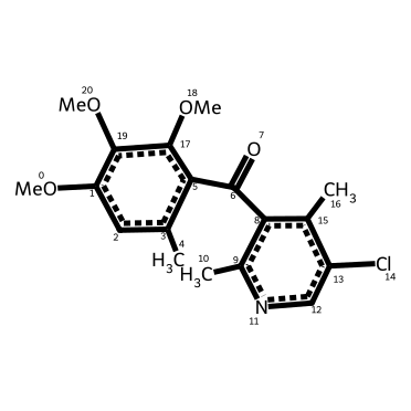 COc1cc(C)c(C(=O)c2c(C)ncc(Cl)c2C)c(OC)c1OC